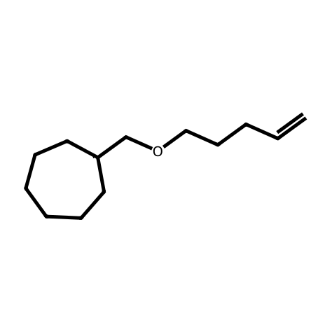 C=CCCCOC[C]1CCCCCC1